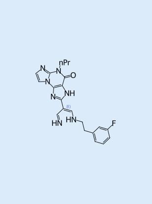 CCCn1c(=O)c2[nH]c(/C(C=N)=C/NCCc3cccc(F)c3)nc2n2ccnc12